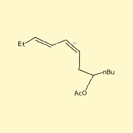 CCC=C/C=C\CC(CCCC)OC(C)=O